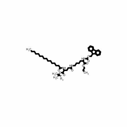 C=CCOC(=O)C(CCCCNC(=O)CCC(NC(=O)CCCCCCCCCCCCCCC)C(=O)OC(C)(C)C)NC(=O)OCC1c2ccccc2-c2ccccc21